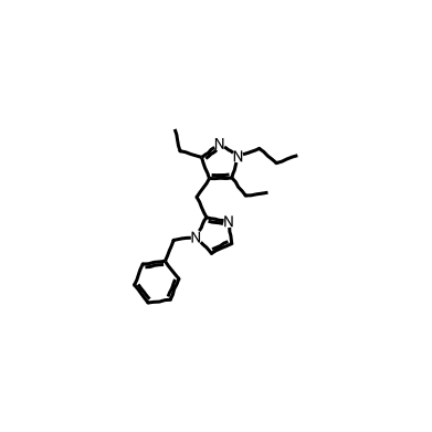 CCCn1nc(CC)c(Cc2nccn2Cc2ccccc2)c1CC